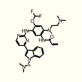 C=CC(=O)Nc1cc(Nc2nccc(-c3cn(SN(C)C)c4ccccc34)n2)c(OC(F)F)cc1N(C)CCN(C)C